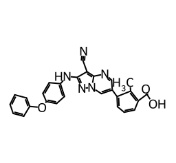 Cc1c(C(=O)O)cccc1-c1cnc2c(C#N)c(Nc3ccc(Oc4ccccc4)cc3)nn2c1